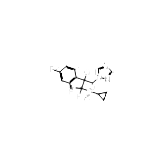 O=S(=O)(C1CC1)C(F)(F)C(O)(Cn1cncn1)c1ccc(F)cc1F